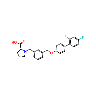 O=C(O)C1CCCN1Cc1cccc(COc2ccc(-c3ccc(F)cc3F)cc2)c1